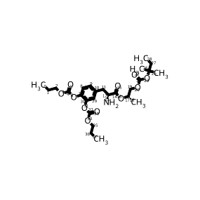 CCCOC(=O)Oc1ccc(C[C@H](N)C(=O)O[C@@H](C)COC(=O)OC(C)(C)CC)cc1OC(=O)OCCC